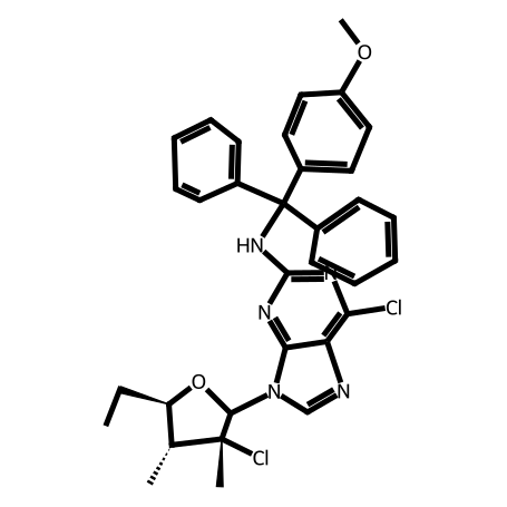 CC[C@H]1OC(n2cnc3c(Cl)nc(NC(c4ccccc4)(c4ccccc4)c4ccc(OC)cc4)nc32)[C@](C)(Cl)[C@@H]1C